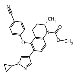 COC(=O)N1c2ccc(-c3cnn(C4CC4)c3)c(Oc3ccc(C#N)cc3)c2CC[C@@H]1C